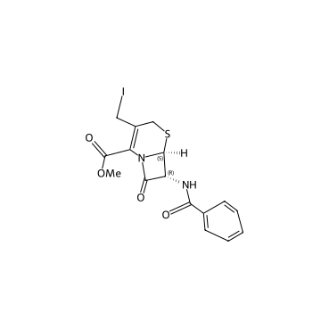 COC(=O)C1=C(CI)CS[C@H]2[C@H](NC(=O)c3ccccc3)C(=O)N12